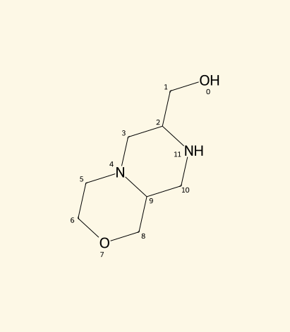 OCC1CN2CCOCC2CN1